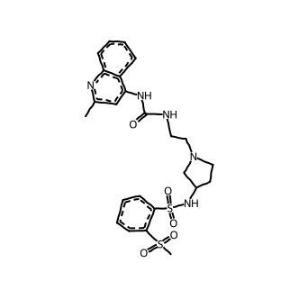 Cc1cc(NC(=O)NCCN2CCC(NS(=O)(=O)c3ccccc3S(C)(=O)=O)C2)c2ccccc2n1